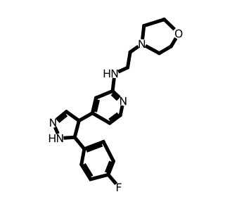 Fc1ccc(C2NN=CC2c2ccnc(NCCN3CCOCC3)c2)cc1